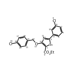 CCOC(=O)c1sc(-c2cccc(Cl)c2)nc1OCc1ccc(Cl)cc1